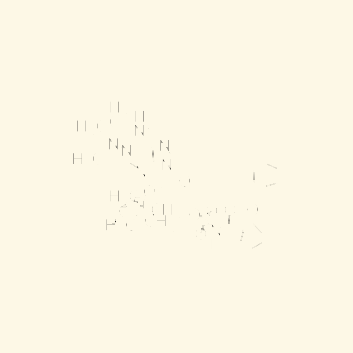 CC[N+](CC)(CC)N1C=Nc2c(ncn2[C@@H]2O[C@H](COS(=O)(=O)NC(=O)c3ccccc3OCc3ccccc3)CC2O[Si](C)(C)C(C)(C)C)C1N